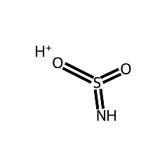 N=S(=O)=O.[H+]